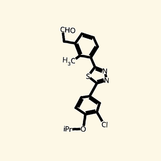 Cc1c(CC=O)cccc1-c1nnc(-c2ccc(OC(C)C)c(Cl)c2)s1